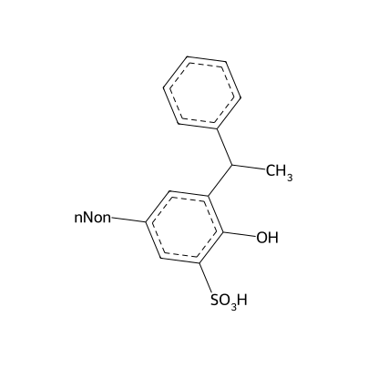 CCCCCCCCCc1cc(C(C)c2ccccc2)c(O)c(S(=O)(=O)O)c1